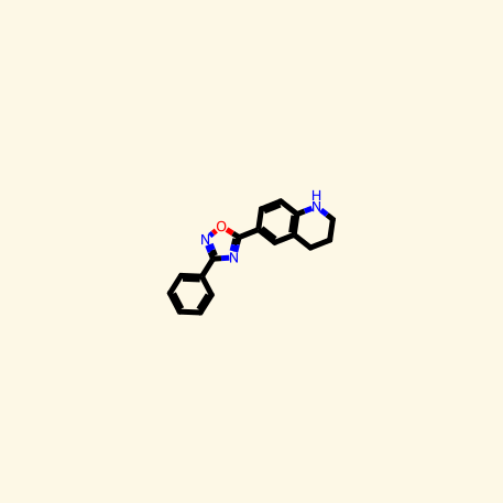 c1ccc(-c2noc(-c3ccc4c(c3)CCCN4)n2)cc1